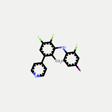 O=C(O)c1c(-c2ccncc2)cc(F)c(F)c1Nc1ccc(I)cc1F